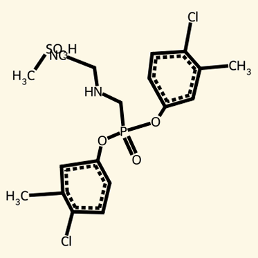 CS(=O)(=O)O.Cc1cc(OP(=O)(CNCC#N)Oc2ccc(Cl)c(C)c2)ccc1Cl